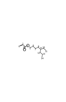 C=CC(=O)OCCCCC(CC)CCC